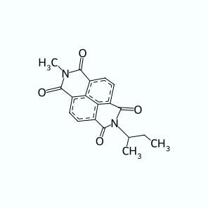 CCC(C)N1C(=O)c2ccc3c4c(ccc(c24)C1=O)C(=O)N(C)C3=O